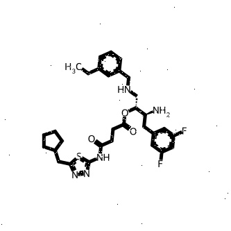 CCc1cccc(CNC[C@@H](OC(=O)CCC(=O)Nc2nnc(CC3CCCC3)s2)[C@@H](N)Cc2cc(F)cc(F)c2)c1